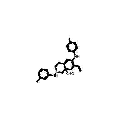 C=CC1=C(Nc2ccc(F)cc2)C=C2CCN(Nc3cccc(C)c3)CC2(C=O)C1